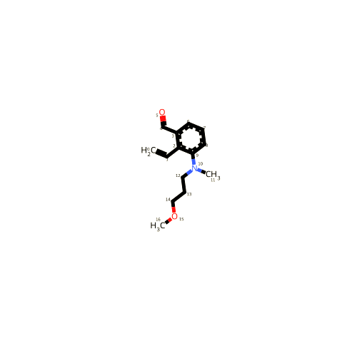 C=Cc1c(C=O)cccc1N(C)CCCOC